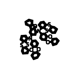 c1ccc2c(c1)Oc1ccc(N(c3cc(N(c4ccc5c(c4)Oc4ccccc4O5)c4cccc5c4Sc4ccccc4S5)c4oc5ccccc5c4c3)c3cccc4c3Sc3ccccc3S4)cc1O2